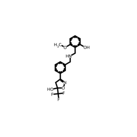 COc1cccc(O)c1CNCc1cccc(C2=NOC(O)(C(F)(F)F)C2)c1